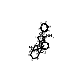 CO[C@]1(c2cccc(C(N)=O)c2)[C@@H]2CCC[C@H]1CN(C1CN(c3ccccc3)C1)C2